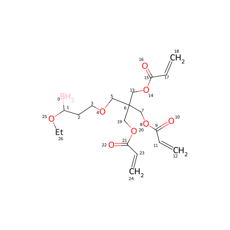 BC(CCOCC(COC(=O)C=C)(COC(=O)C=C)COC(=O)C=C)OCC